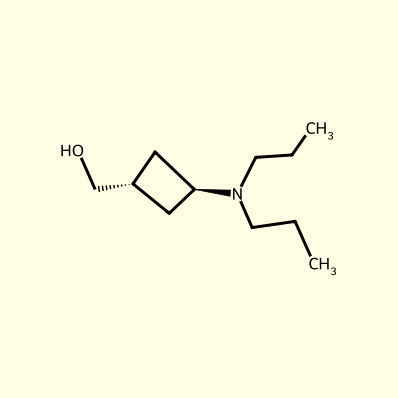 CCCN(CCC)[C@H]1C[C@H](CO)C1